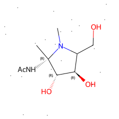 CC(=O)N[C@@]1(C)[C@@H](O)[C@H](O)C(CO)N1C